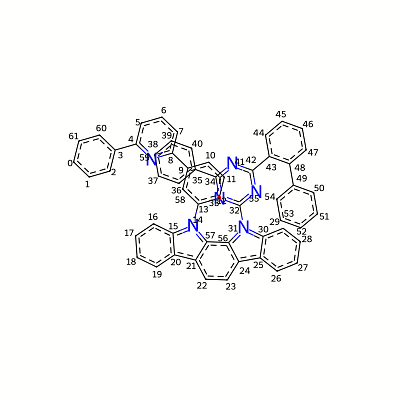 c1ccc(-c2cccc(-c3cccc(-n4c5ccccc5c5ccc6c7ccccc7n(-c7nc(-c8ccccc8)nc(-c8ccccc8-c8ccccc8)n7)c6c54)c3)n2)cc1